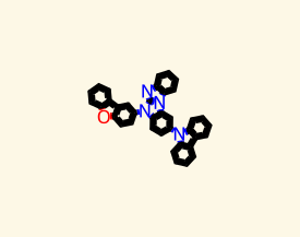 c1ccc2c(c1)nc1n(-c3ccc4oc5ccccc5c4c3)c3ccc(-n4c5ccccc5c5ccccc54)cc3n21